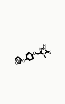 C1CCOC1.COc1ccc(OCc2n[nH]c(=S)n2C)cc1